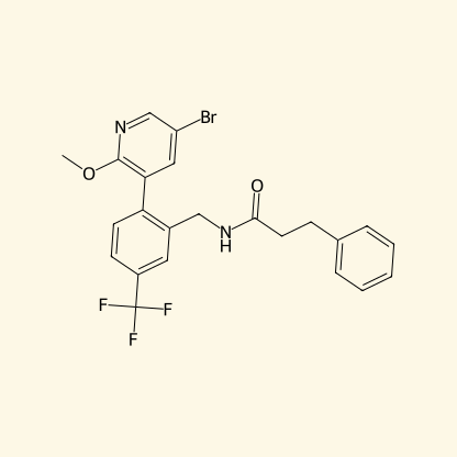 COc1ncc(Br)cc1-c1ccc(C(F)(F)F)cc1CNC(=O)CCc1ccccc1